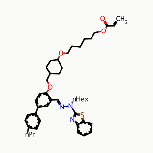 C=CC(=O)OCCCCCCOC1CCC(COc2ccc(-c3ccc(CCC)cc3)cc2/C=N/N(CCCCCC)c2nc3ccccc3s2)CC1